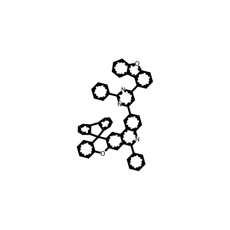 c1ccc(-c2nc(-c3ccc4nc(-c5ccccc5)c5cc6c(cc5c4c3)C3(c4ccccc4O6)c4ccccc4-c4ccccc43)cc(-c3cccc4oc5ccccc5c34)n2)cc1